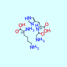 NCC(=O)N[C@@H](Cc1c[nH]cn1)C(=O)O.NCCCC[C@H](N)C(=O)O